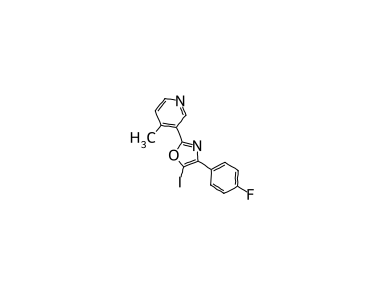 Cc1ccncc1-c1nc(-c2ccc(F)cc2)c(I)o1